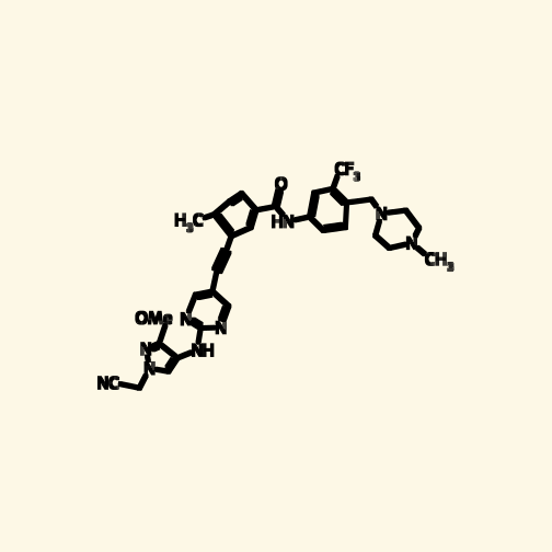 COc1nn(CC#N)cc1Nc1ncc(C#Cc2cc(C(=O)Nc3ccc(CN4CCN(C)CC4)c(C(F)(F)F)c3)ccc2C)cn1